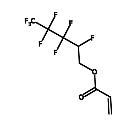 C=CC(=O)OCC(F)C(F)(F)C(F)(F)C(F)(F)F